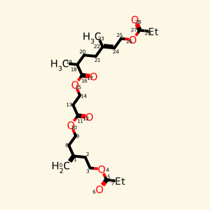 C=C(CCOC(=O)CC)CCOC(=O)CCOC(=O)C(C)CC/C(C)=C/COC(=O)CC